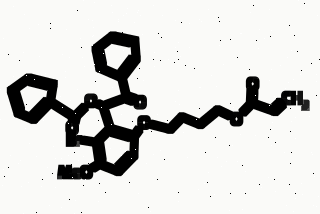 C=CC(=O)OCCCCOc1ccc(OC)c(Br)c1C(OC(=O)c1ccccc1)C(=O)c1ccccc1